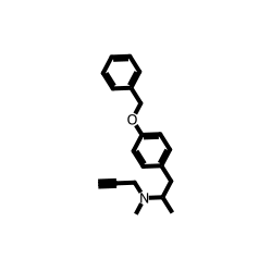 C#CCN(C)C(C)Cc1ccc(OCc2ccccc2)cc1